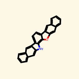 c1ccc2cc3c(cc2c1)[nH]c1c3ccc2c3cc4ccccc4cc3oc21